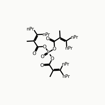 CCCC(CCC)=C(C)C(=O)OP(=O)(OC(=O)C(C)=C(CCC)CCC)OC(=O)C(C)=C(CCC)CCC